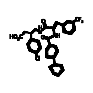 O=C(O)C[C@@H](CNC(=O)/C(=C/c1cccc(C(F)(F)F)c1)NC(=O)c1ccc(-c2ccccc2)cc1)c1ccc(Cl)cc1